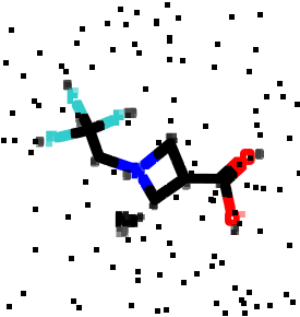 O=C([O-])C1CN(CC(F)(F)F)C1.[Na+]